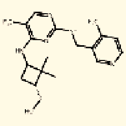 CC1(C)C(Nc2nc(NCc3cnccc3C(F)(F)F)ncc2C(F)(F)F)C[C@H]1CO